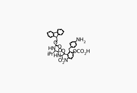 CC(NC(=O)C(NC(=O)OCC1c2ccccc2-c2ccccc21)C(C)C)C(=O)c1c([N+](=O)[O-])ccc(OC(=O)O)c1Cc1ccc(N)cc1